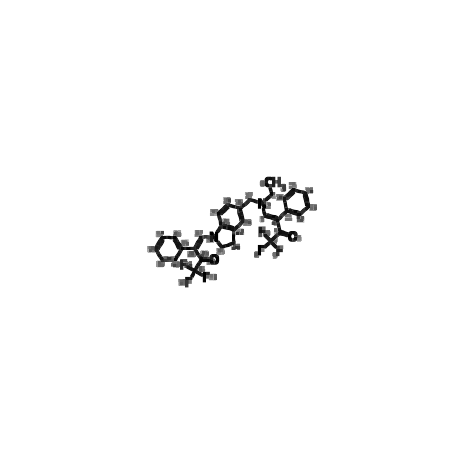 CCN(/C=C(/C(=O)C(F)(F)F)c1ccccc1)Cc1ccc2c(c1)CCN2/C=C(\C(=O)C(F)(F)F)c1ccccc1